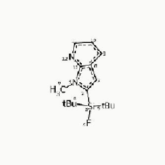 Cn1c([Si](F)(C(C)(C)C)C(C)(C)C)cc2cccnc21